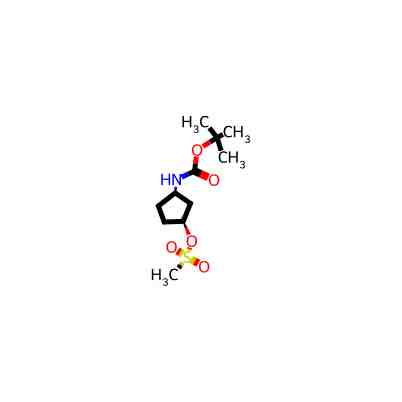 CC(C)(C)OC(=O)N[C@H]1CC[C@H](OS(C)(=O)=O)C1